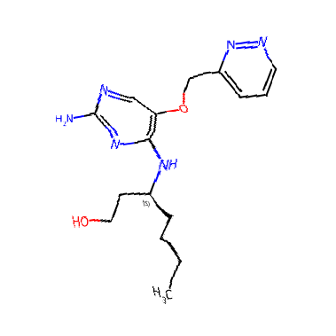 CCCC[C@@H](CCO)Nc1nc(N)ncc1OCc1cccnn1